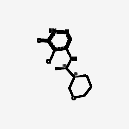 C[C@@H](Nc1cn[nH]c(=O)c1Cl)[C@@H]1CCCOC1